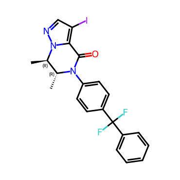 C[C@@H]1[C@@H](C)n2ncc(I)c2C(=O)N1c1ccc(C(F)(F)c2ccccc2)cc1